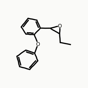 CCC1OC1c1ccccc1Oc1ccccc1